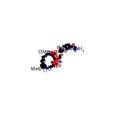 COc1cc2cc(c1Cl)N(C)C(=O)C[C@@H]1OC(=O)[C@@H](N(C)C(=O)CCSC3CC(=O)N(CC4CCC(C(=O)NC(C)(C)N)CC4)C3=O)C3(OC13)[C@H](C)C1CC(O)(NC(=O)O1)C(OC)/C=C/C=C(\C)C2